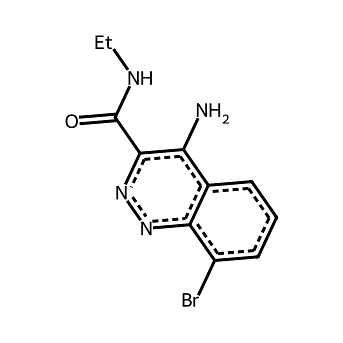 CCNC(=O)c1nnc2c(Br)cccc2c1N